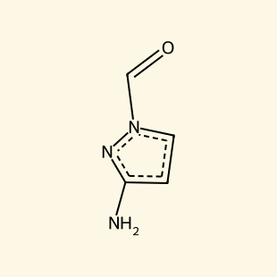 Nc1ccn(C=O)n1